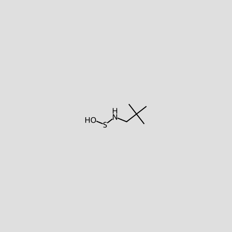 CC(C)(C)CNSO